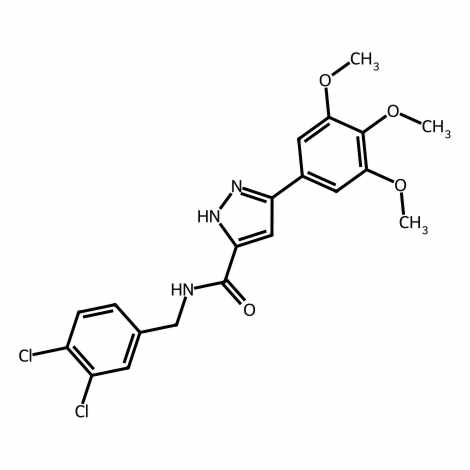 COc1cc(-c2cc(C(=O)NCc3ccc(Cl)c(Cl)c3)[nH]n2)cc(OC)c1OC